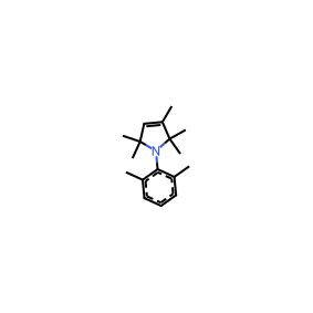 CC1=CC(C)(C)N(c2c(C)cccc2C)C1(C)C